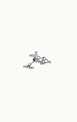 C[C@]12C=CC(=O)C=C1CCC1C3C[C@@H](O)[C@](OC(=O)CCCON(O)O)(C(=O)CO)[C@@]3(C)C[C@H](O)[C@@]12F